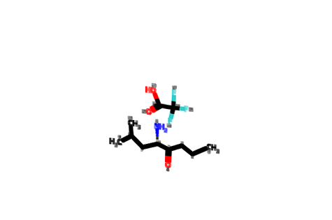 CCCC(=O)[C@@H](N)CC(C)C.O=C(O)C(F)(F)F